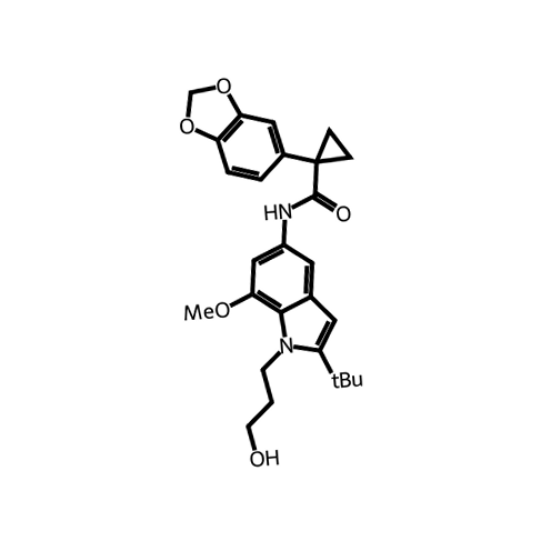 COc1cc(NC(=O)C2(c3ccc4c(c3)OCO4)CC2)cc2cc(C(C)(C)C)n(CCCO)c12